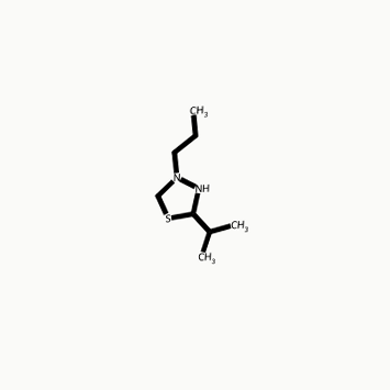 CCCN1CSC(C(C)C)N1